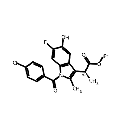 Cc1c([C@H](C)C(=O)OC(C)C)c2cc(O)c(F)cc2n1C(=O)c1ccc(Cl)cc1